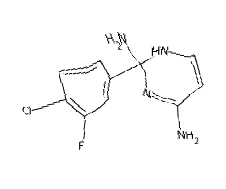 NC1=NC(N)(c2ccc(Cl)c(F)c2)NC=C1